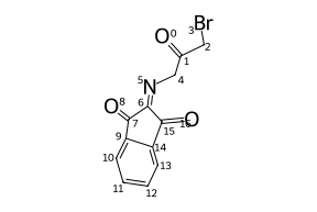 O=C(CBr)CN=c1c(=O)c2ccccc2c1=O